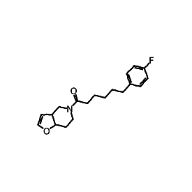 O=C(CCCCCc1ccc(F)cc1)N1CCC2OC=CC2C1